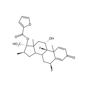 C[C@@H]1CC2C3C[C@H](F)C4=CC(=O)C=CC4(C)[C@@]3(F)[C@@H](O)CC2(C)[C@@]1(OC(=O)c1ccco1)C(=O)O